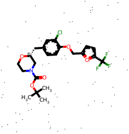 CC(C)(C)OC(=O)N1CCO[C@H](Cc2ccc(OCc3ccc(C(F)(F)F)o3)c(Cl)c2)C1